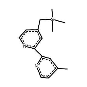 Cc1ccnc(-c2cc(C[Si](C)(C)C)ccn2)c1